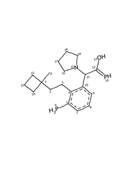 CC1(CCc2c(P)cccc2C(C(O)=P)N2CCCC2)CCC1